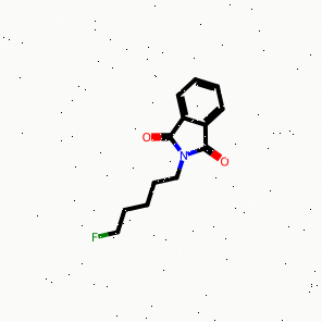 O=C1c2ccccc2C(=O)N1CCCCCF